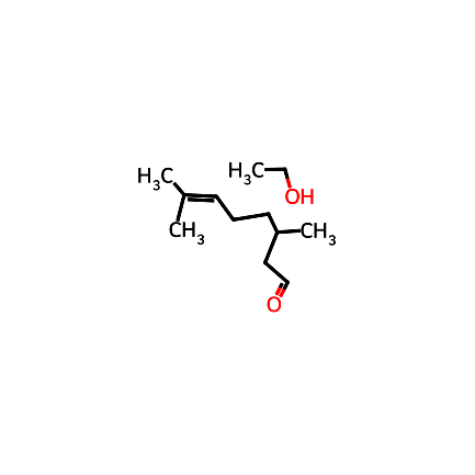 CC(C)=CCCC(C)CC=O.CCO